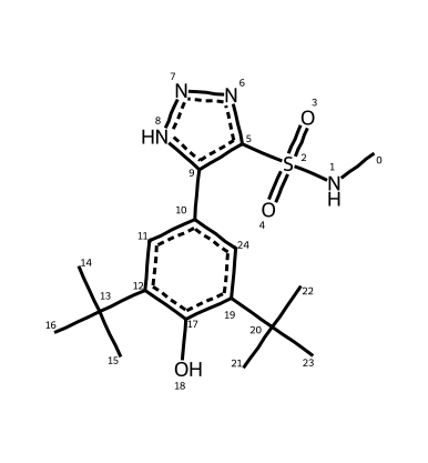 CNS(=O)(=O)c1nn[nH]c1-c1cc(C(C)(C)C)c(O)c(C(C)(C)C)c1